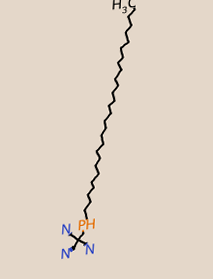 CCCCCCCCCCCCCCCCCCCCCCCCCCCCCCPCC(C#N)(C#N)C#N